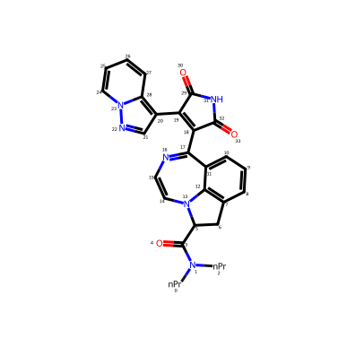 CCCN(CCC)C(=O)C1Cc2cccc3c2N1C=CN=C3C1=C(c2cnn3ccccc23)C(=O)NC1=O